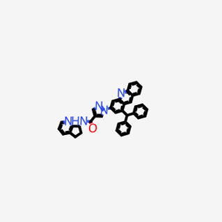 O=C(NC1CCc2cccnc21)c1cnn(-c2cc(C(c3ccccc3)c3ccccc3)c3cc4ccccc4nc3c2)c1